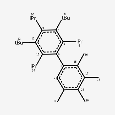 Cc1[c]c(-c2c(C(C)C)c(C(C)(C)C)c(C(C)C)c(C(C)(C)C)c2C(C)C)c(C)c(C)c1C